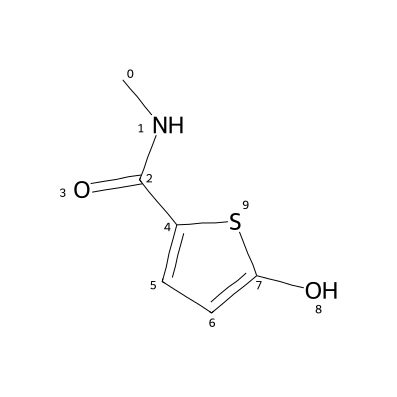 CNC(=O)c1ccc(O)s1